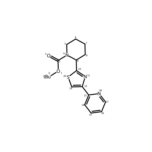 CC(C)(C)OC(=O)N1CCCCC1c1nc(-c2ccccn2)cs1